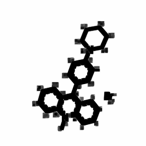 C[n+]1c2ccccc2c(-c2ccc(N3CCCCC3)cc2)c2ccccc21.[Br-]